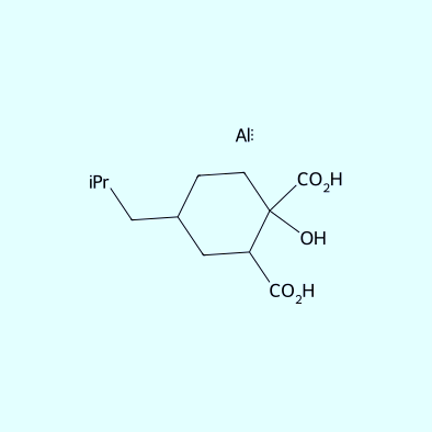 CC(C)CC1CCC(O)(C(=O)O)C(C(=O)O)C1.[Al]